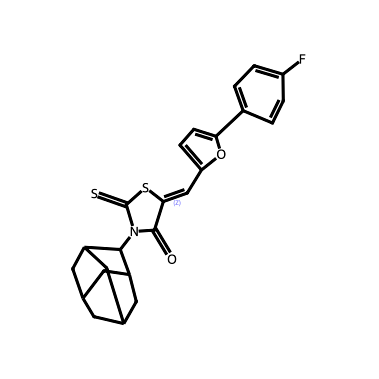 O=C1/C(=C/c2ccc(-c3ccc(F)cc3)o2)SC(=S)N1C1C2CC3CC(C2)CC1C3